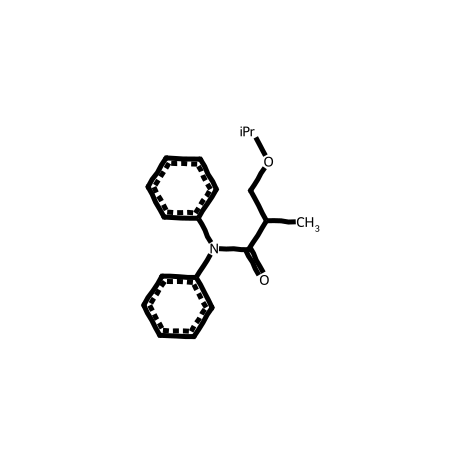 CC(C)OCC(C)C(=O)N(c1ccccc1)c1ccccc1